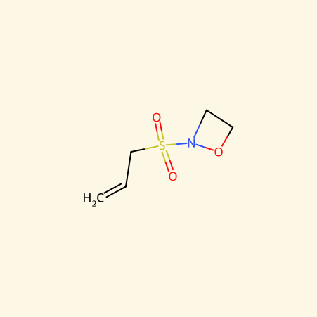 C=CCS(=O)(=O)N1CCO1